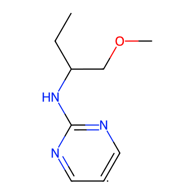 CCC(COC)Nc1nc[c]cn1